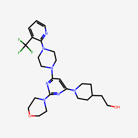 OCCC1CCN(c2cc(N3CCN(c4ncccc4C(F)(F)F)CC3)nc(N3CCOCC3)n2)CC1